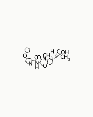 CN1C(=O)C(NC(=O)c2cc(OC3CCCC3)ccn2)COc2ccc(C#CC(C)(C)O)cc21